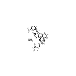 COc1cccc(N(C)C)c1CN1CCC(c2nc(NCCC3CCCN3)nc3ccccc23)CC1.N